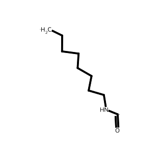 [CH2]CCCCCCCN[C]=O